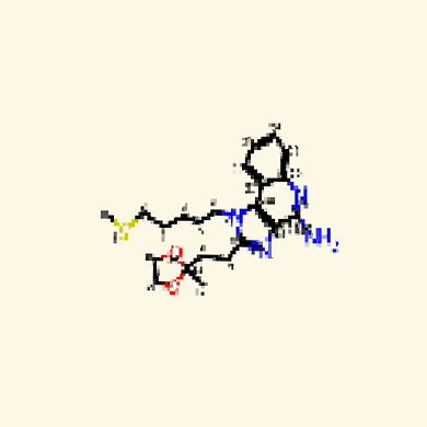 CSCCCCCn1c(CCC2(C)OCCO2)nc2c(N)nc3ccccc3c21